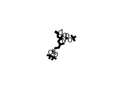 C=CCC1(C(=O)OC)CC(CCB2OC(C)(C)C(C)(C)O2)CN1C(=O)OC(C)(C)C